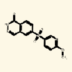 COc1ccc(S(=O)(=O)c2ccc3c(=O)[nH]ncc3c2)cn1